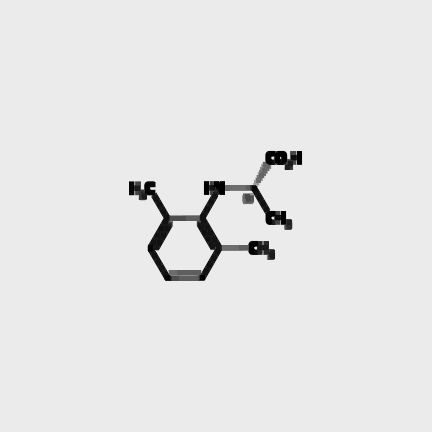 Cc1cccc(C)c1N[C@@H](C)C(=O)O